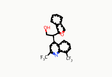 OCC(c1occ2ccccc12)c1cc(C(F)(F)F)nc2c(C(F)(F)F)cccc12